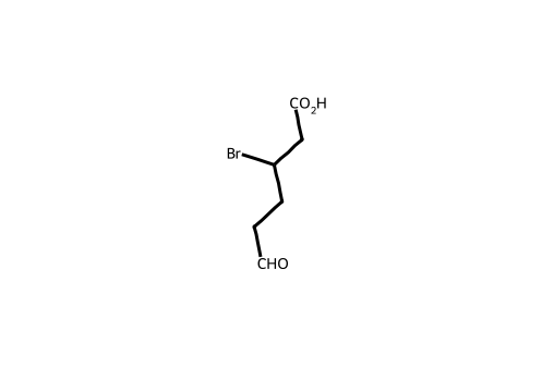 O=CCCC(Br)CC(=O)O